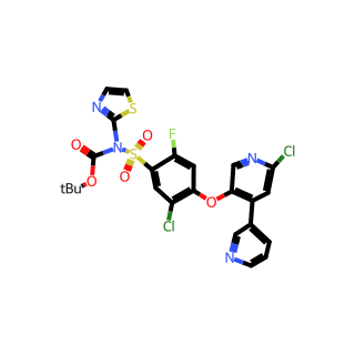 CC(C)(C)OC(=O)N(c1nccs1)S(=O)(=O)c1cc(Cl)c(Oc2cnc(Cl)cc2-c2cccnc2)cc1F